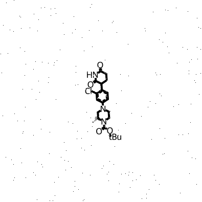 C[C@@H]1CN(c2ccc(C3CCC(=O)NC3=O)c(Cl)c2)CCN1C(=O)OC(C)(C)C